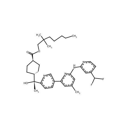 CCCCCC(C)(C)COC(=O)[C@H]1CC[C@H]([C@@](C)(O)c2ccc(-c3cc(C)cc(Nc4cc(C(F)F)ccn4)n3)cn2)CC1